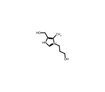 Cc1c(CO)[nH]c[n+]1CCCO